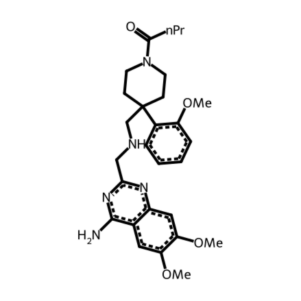 CCCC(=O)N1CCC(CNCc2nc(N)c3cc(OC)c(OC)cc3n2)(c2ccccc2OC)CC1